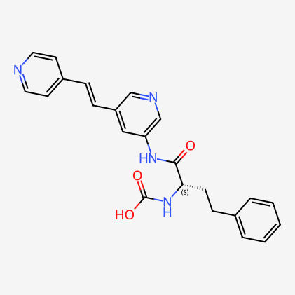 O=C(O)N[C@@H](CCc1ccccc1)C(=O)Nc1cncc(C=Cc2ccncc2)c1